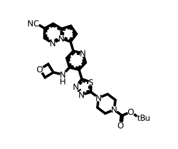 CC(C)(C)OC(=O)N1CCN(c2nnc(-c3cnc(-c4ccc5cc(C#N)cnn45)cc3NC3COC3)s2)CC1